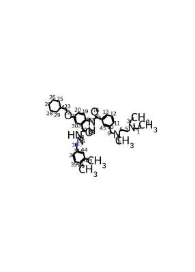 CCN(CC)CCN(C)Cc1cccc(C(=O)Nc2ccc(OCC3CCCCC3)cc2C(=O)N/N=C/c2ccc(C)c(C)c2)c1